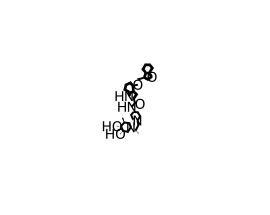 C[C@H]1CN([C@@H](C)CN2CCC(NC(=O)c3cc4c(OCc5coc6ccccc56)cccc4[nH]3)CC2)C[C@H](O)[C@@H]1O